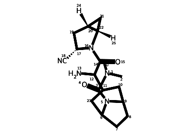 CN(C)C(=O)N1C2CCC1CC(C(N)C(=O)N1[C@H](C#N)C[C@@H]3C[C@@H]31)C2